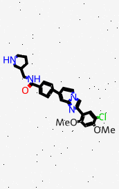 COc1cc(OC)c(-c2cn3ccc(-c4ccc(C(=O)NCC5CCCNC5)cc4)cc3n2)cc1Cl